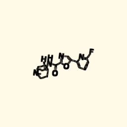 O=C(N[C@H]1CN2CCC1CC2)c1ncc(-c2cccc(F)n2)o1